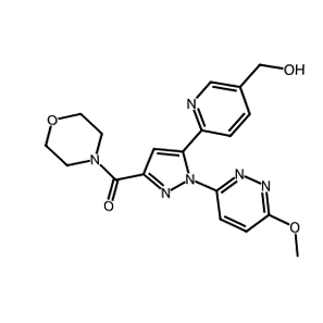 COc1ccc(-n2nc(C(=O)N3CCOCC3)cc2-c2ccc(CO)cn2)nn1